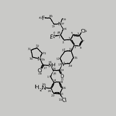 CC[C@H](Cc1cc(Cl)ccc1C1CCN(C(=O)[C@@H](Cc2ccc(Cl)cc2N)NC(=O)N2CCCC2)CC1)CN(C)CCF